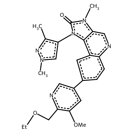 CCOCc1ncc(-c2ccc3ncc4c(c3c2)n(-c2cn(C)nc2C)c(=O)n4C)cc1OC